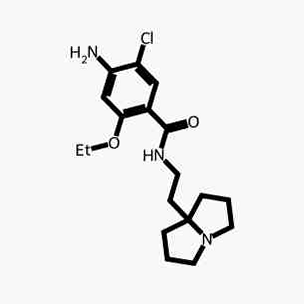 CCOc1cc(N)c(Cl)cc1C(=O)NCCC12CCCN1CCC2